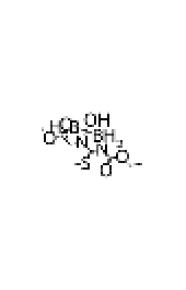 BC(B)(O)N(CC(=O)OC)/C(=N/C(=O)OCC)SC